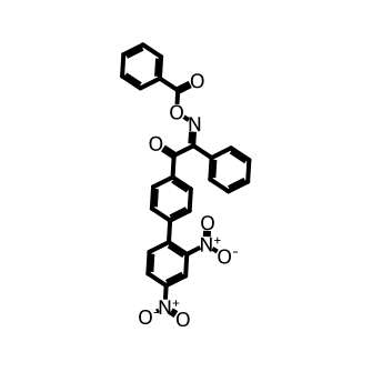 O=C(O/N=C(\C(=O)c1ccc(-c2ccc([N+](=O)[O-])cc2[N+](=O)[O-])cc1)c1ccccc1)c1ccccc1